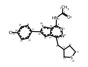 CC(=O)Nc1nnc(CC2CCSC2)c2cc(-c3ccc(Cl)cc3)sc12